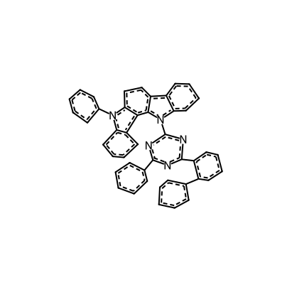 c1ccc(-c2nc(-c3ccccc3-c3ccccc3)nc(-n3c4ccccc4c4ccc5c(c6ccccc6n5-c5ccccc5)c43)n2)cc1